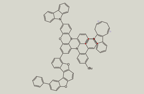 CC(C)(C)c1ccc(N2c3cc(-n4c5c(c6ccccc64)/C=C\C/C=C\C5)ccc3B3c4ccc(-n5c6ccccc6c6ccccc65)cc4Oc4cc(-c5cccc6c5oc5ccc7oc8ccc(-c9ccccc9)cc8c7c56)cc2c43)c(-c2ccccc2)c1